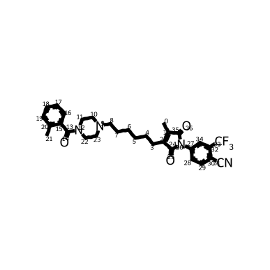 CC1=C(CCCCCCN2CCN(C(=O)c3ccccc3C)CC2)C(=O)N(c2ccc(C#N)c(C(F)(F)F)c2)C1=O